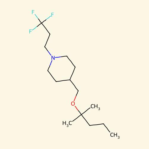 CCCC(C)(C)OCC1CCN(CCC(F)(F)F)CC1